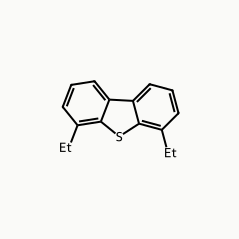 CCc1cccc2c1sc1c(CC)cccc12